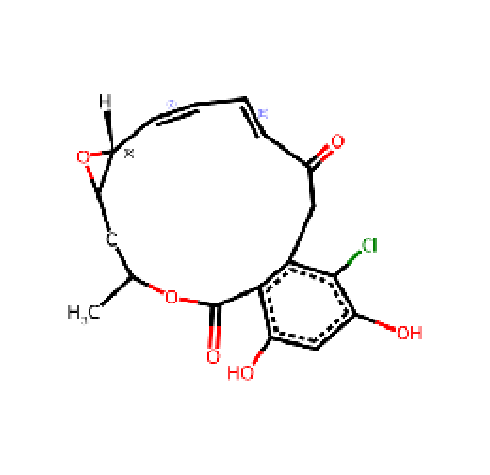 CC1CC2O[C@@H]2/C=C\C=C\C(=O)Cc2c(Cl)c(O)cc(O)c2C(=O)O1